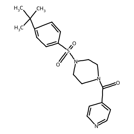 CC(C)(C)c1ccc(S(=O)(=O)N2CCN(C(=O)c3ccncc3)CC2)cc1